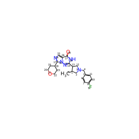 CC1CN(Cc2ccc(F)cc2)CC1c1nn2c(C3CCOCC3)ncc2c(=O)[nH]1